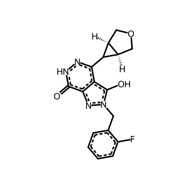 O=c1[nH]nc(C2[C@H]3COC[C@@H]23)c2c(O)n(Cc3ccccc3F)nc12